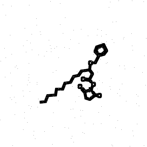 CCCCCCCCCCCC(CC(=O)ON1C(=O)CCC1=O)OCc1ccccc1